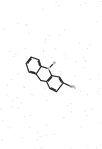 O=[N+]([O-])c1ccc2c(c1)[S+]([O-])c1ccccc1C2